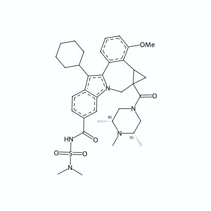 COc1cccc2c1C1CC1(C(=O)N1C[C@@H](C)N(C)[C@@H](C)C1)Cn1c-2c(C2CCCCC2)c2ccc(C(=O)NS(=O)(=O)N(C)C)cc21